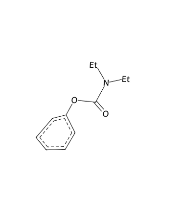 CCN(CC)C(=O)Oc1ccccc1